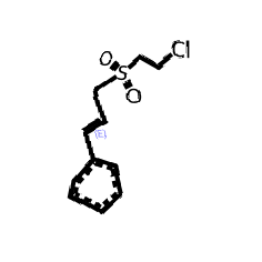 O=S(=O)(C/C=C/c1ccccc1)CCCl